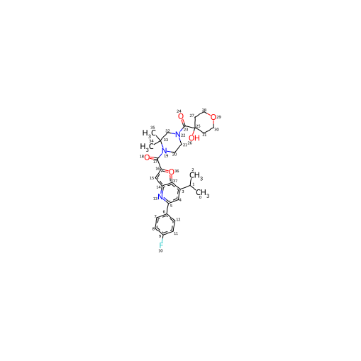 CC(C)c1cc(-c2ccc(F)cc2)nc2cc(C(=O)N3CCN(C(=O)C4(O)CCOCC4)CC3(C)C)oc12